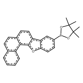 CC1(C)OB(c2ccc3oc4c(ccc5ccc6ccccc6c54)c3c2)OC1(C)C